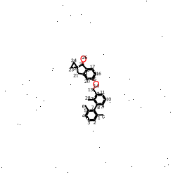 Cc1cccc(C)c1-c1cccc(COc2ccc3c(c2)CC2(CC2)C3=O)c1C